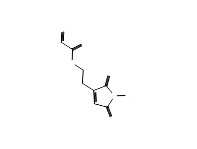 C=CC(=O)OCCC1=CC(=O)N(C)C1=O